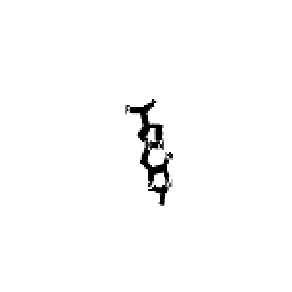 Cc1nc(Br)c(Cn2cc(C(F)F)cn2)s1